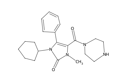 Cn1c(C(=O)N2CCNCC2)c(-c2ccccc2)n(C2CCCCC2)c1=O